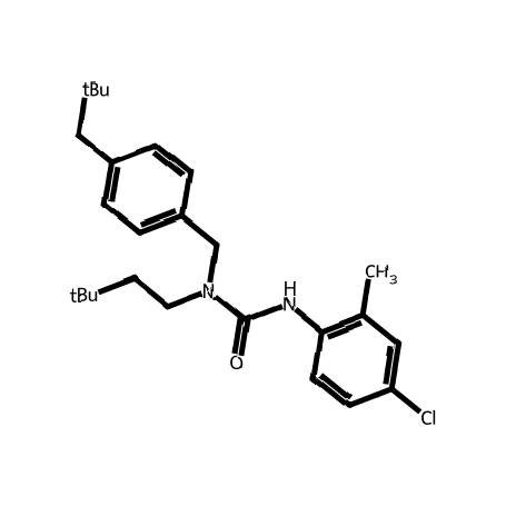 Cc1cc(Cl)ccc1NC(=O)N(CCC(C)(C)C)Cc1ccc(CC(C)(C)C)cc1